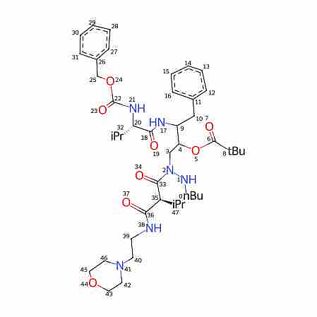 CCCCNN(CC(OC(=O)C(C)(C)C)C(Cc1ccccc1)NC(=O)[C@@H](NC(=O)OCc1ccccc1)C(C)C)C(=O)[C@H](C(=O)NCCN1CCOCC1)C(C)C